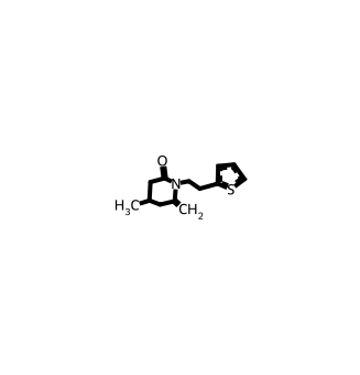 C=C1CC(C)CC(=O)N1CCc1cccs1